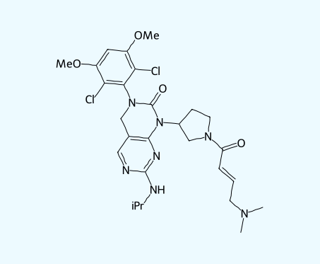 COc1cc(OC)c(Cl)c(N2Cc3cnc(NC(C)C)nc3N(C3CCN(C(=O)C=CCN(C)C)C3)C2=O)c1Cl